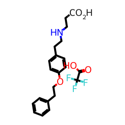 O=C(O)C(F)(F)F.O=C(O)CCNCCc1ccc(OCCc2ccccc2)cc1